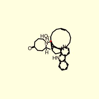 O=C1CCCN2[C@@H](CC1)C[C@]13CN4CCCC/C=C\CC[C@](O)(C=C(c5nccc6c5[nH]c5ccccc56)C1CC4)[C@H]23